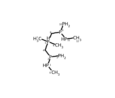 CPP(P)C[PH](C)(C)CP(P)PC